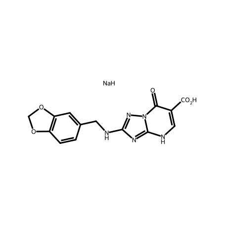 O=C(O)c1c[nH]c2nc(NCc3ccc4c(c3)OCO4)nn2c1=O.[NaH]